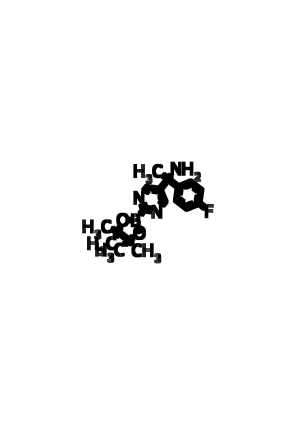 CC(N)(c1ccc(F)cc1)c1cnc(B2OC(C)(C)C(C)(C)O2)nc1